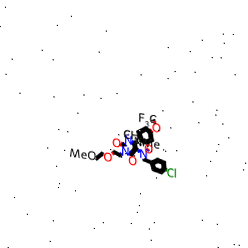 CNc1c(N(Cc2ccc(Cl)cc2)Oc2cccc(OC(F)(F)F)c2)c(=O)n(CCOCCOC)c(=O)n1C